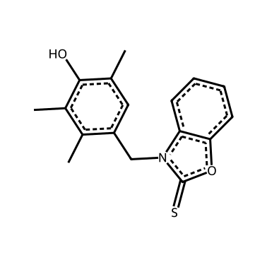 Cc1cc(Cn2c(=S)oc3ccccc32)c(C)c(C)c1O